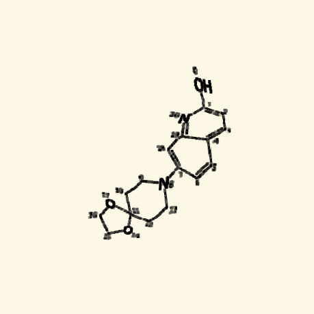 Oc1ccc2ccc(N3CCC4(CC3)OCCO4)cc2n1